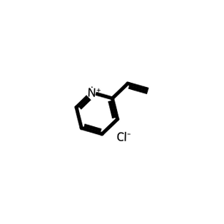 C=CC1=CC=CC=[N+]1.[Cl-]